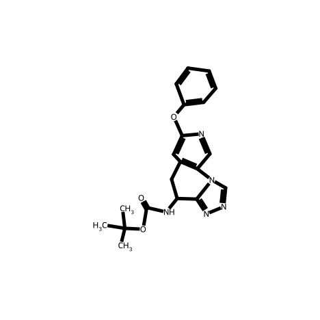 CC(C)(C)OC(=O)NC1Cc2cc(Oc3ccccc3)ncc2-n2cnnc21